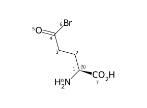 N[C@@H](CCC(=O)Br)C(=O)O